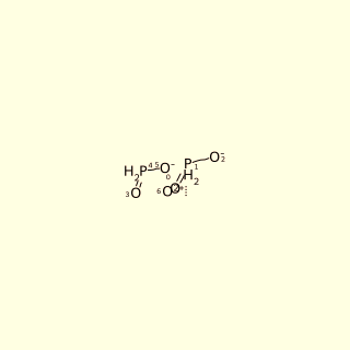 O=[PH2][O-].O=[PH2][O-].[O+2]